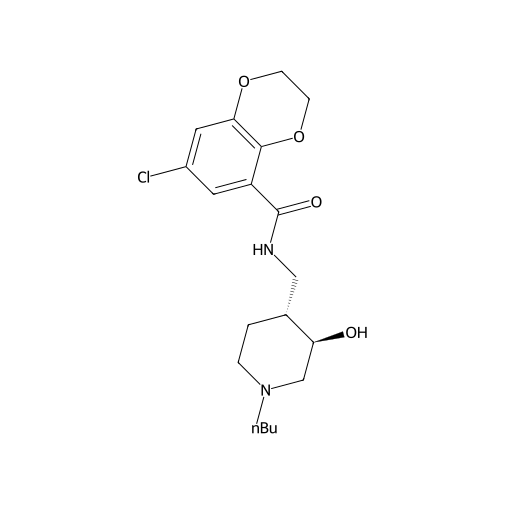 CCCCN1CC[C@H](CNC(=O)c2cc(Cl)cc3c2OCCO3)[C@@H](O)C1